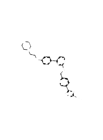 FC(F)(F)c1nc(-c2ccc(CNc3nccc(-c4ccc(OCCN5CCOCC5)cc4)n3)nc2)no1